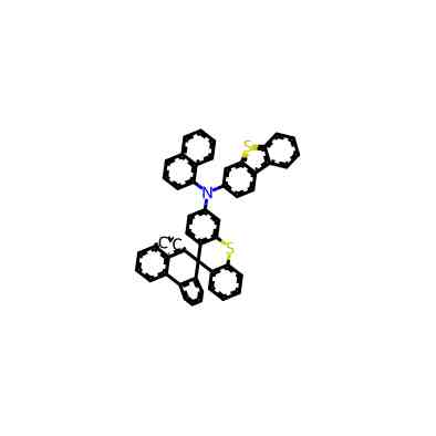 c1ccc2c(c1)Sc1cc(N(c3ccc4c(c3)sc3ccccc34)c3cccc4ccccc34)ccc1C21c2ccccc2-c2cccc3cccc1c23